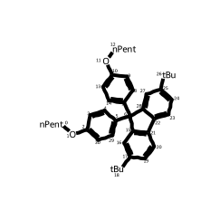 CCCCCOc1ccc(C2(c3ccc(OCCCCC)cc3)c3cc(C(C)(C)C)ccc3-c3ccc(C(C)(C)C)cc32)cc1